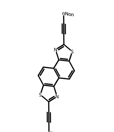 CCCCCCCCCC#Cc1nc2c(ccc3c2ccc2sc(C#CCCCCCCCCC)nc23)s1